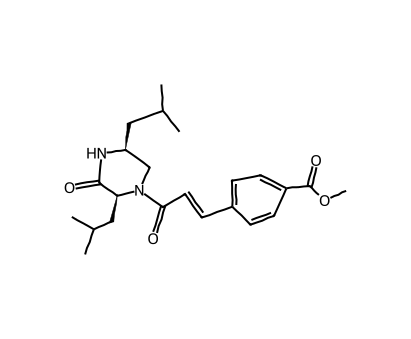 COC(=O)c1ccc(/C=C/C(=O)N2C[C@H](CC(C)C)NC(=O)[C@@H]2CC(C)C)cc1